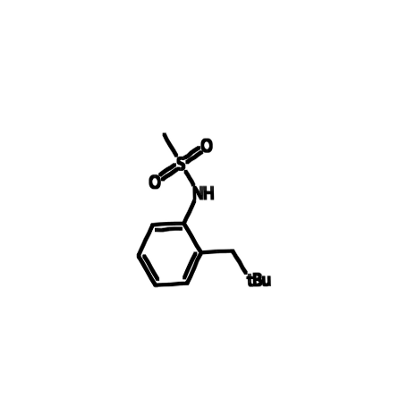 CC(C)(C)Cc1ccccc1NS(C)(=O)=O